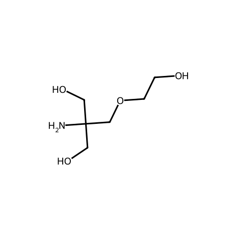 NC(CO)(CO)COCCO